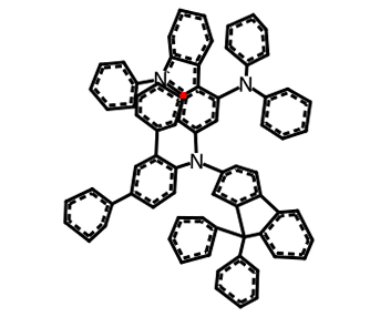 c1ccc(-c2ccc(N(c3ccc4c(c3)C(c3ccccc3)(c3ccccc3)c3ccccc3-4)c3cc(N(c4ccccc4)c4ccccc4)c4c5ccccc5n(-c5ccccc5)c4c3)c(-c3ccccc3)c2)cc1